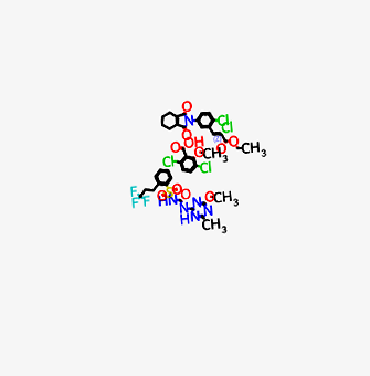 CCOC(=O)/C(Cl)=C/c1cc(N2C(=O)C3=C(CCCC3)C2=O)ccc1Cl.COc1c(Cl)ccc(Cl)c1C(=O)O.COc1nc(C)nc(NC(=O)NS(=O)(=O)c2ccccc2CCC(F)(F)F)n1